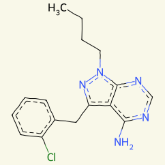 CCCCn1nc(Cc2ccccc2Cl)c2c(N)ncnc21